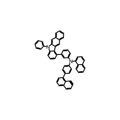 c1ccc2cccc(-c3ccc(N(c4cccc(-c5cccc6c5c5cc7ccccc7cc5n6-c5ccccc5)c4)c4cccc5ccccc45)cc3)c2c#1